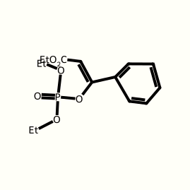 CCOC(=O)C=C(OP(=O)(OCC)OCC)c1ccccc1